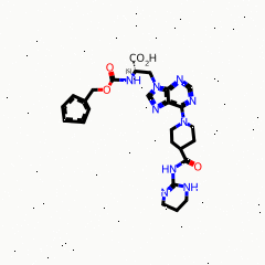 O=C(N[C@@H](Cn1cnc2c(N3CCC(C(=O)NC4=NCCCN4)CC3)ncnc21)C(=O)O)OCc1ccccc1